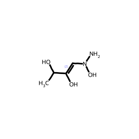 CC(O)/C(O)=C/N(N)O